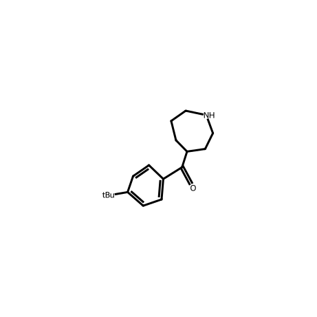 CC(C)(C)c1ccc(C(=O)C2CCCNCC2)cc1